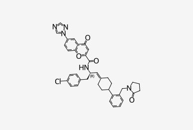 O=C(N[C@@H](C=C1CCC(c2ccccc2CN2CCCC2=O)CC1)Cc1ccc(Cl)cc1)c1cc(=O)c2cc(-n3cncn3)ccc2o1